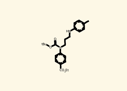 CCOC(=O)c1ccc(N(CCCNc2ccc(C)cc2)C(=O)OC(C)(C)C)cc1